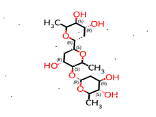 CC1O[C@H](O[C@@H]2C(C)O[C@H]([C@H]3C[C@@H](O)[C@H](O)C(C)O3)C[C@H]2O)C[C@@H](O)[C@@H]1O